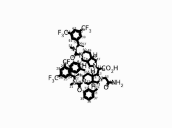 Cc1ccccc1[C@H]1[C@@H]2CN(C(C(=O)O)C3[C@H]4CCN(C(=O)N(C)[C@H](C)c5cc(C(F)(F)F)cc(C(F)(F)F)c5)[C@@H](c5ccccc5C)[C@@H]4CN3CC(N)=O)C[C@H]2CCN1C(=O)N(C)[C@H](C)c1cc(C(F)(F)F)cc(C(F)(F)F)c1